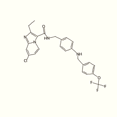 CCc1nc2cc(Cl)ccn2c1C(=O)NCc1ccc(NCc2ccc(OC(F)(F)F)cc2)cc1